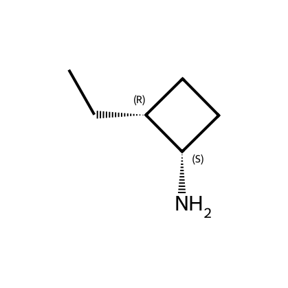 CC[C@@H]1CC[C@@H]1N